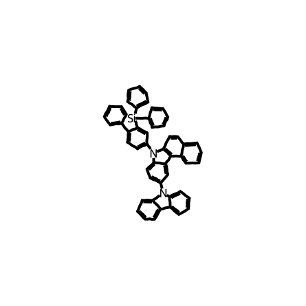 c1ccc([Si]2(c3ccccc3)c3ccccc3-c3ccc(-n4c5ccc(-n6c7ccccc7c7ccccc76)cc5c5c6ccccc6ccc54)cc32)cc1